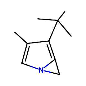 Cc1cn2c(c1C(C)(C)C)C2